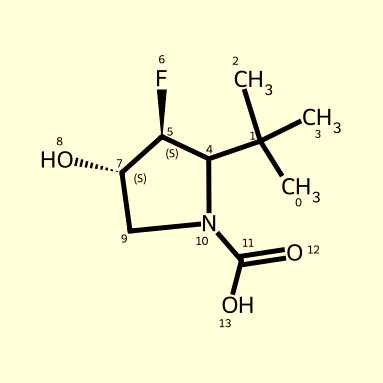 CC(C)(C)C1[C@H](F)[C@@H](O)CN1C(=O)O